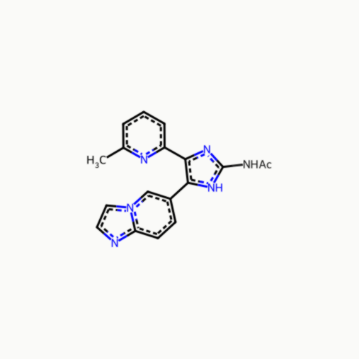 CC(=O)Nc1nc(-c2cccc(C)n2)c(-c2ccc3nccn3c2)[nH]1